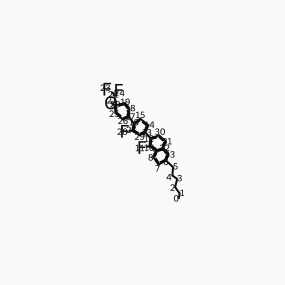 CCCCCCc1ccc2c(F)c(-c3ccc(-c4ccc(OC(F)F)cc4)c(F)c3)ccc2c1